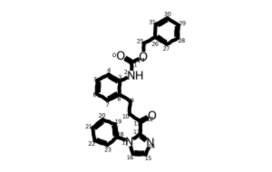 O=C(Nc1ccccc1CCC(=O)c1nccn1-c1ccccc1)OCc1ccccc1